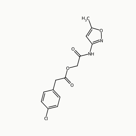 Cc1cc(NC(=O)COC(=O)Cc2ccc(Cl)cc2)no1